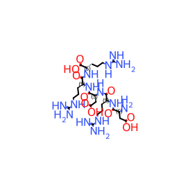 N=C(N)NCCC[C@H](NC(=O)[C@H](CCCNC(=N)N)NC(=O)[C@H](CC(=O)O)NC(=O)[C@H](CCCNC(=N)N)NC(=O)[C@@H](N)CC(=O)O)C(=O)O